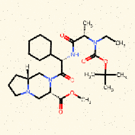 CCN(C(=O)OC(C)(C)C)[C@@H](C)C(=O)N[C@H](C(=O)N1C[C@H]2CCCN2C[C@H]1C(=O)OC)C1CCCCC1